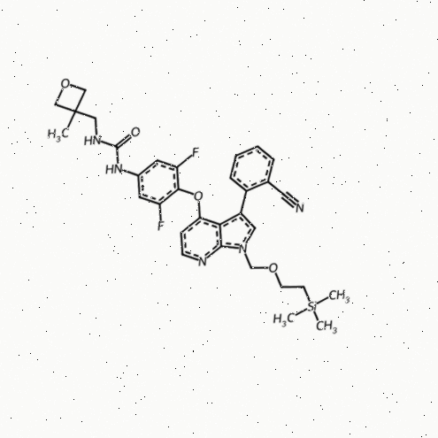 CC1(CNC(=O)Nc2cc(F)c(Oc3ccnc4c3c(-c3ccccc3C#N)cn4COCC[Si](C)(C)C)c(F)c2)COC1